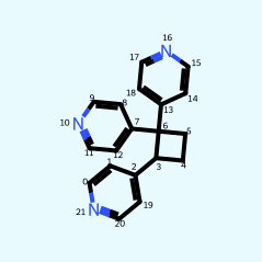 c1cc(C2CCC2(c2ccncc2)c2ccncc2)ccn1